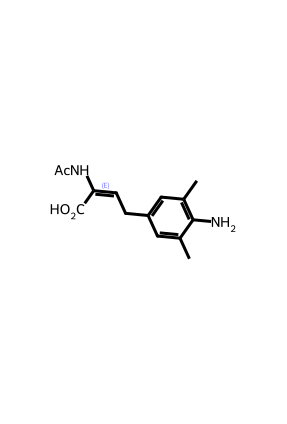 CC(=O)N/C(=C/Cc1cc(C)c(N)c(C)c1)C(=O)O